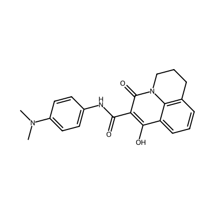 CN(C)c1ccc(NC(=O)c2c(O)c3cccc4c3n(c2=O)CCC4)cc1